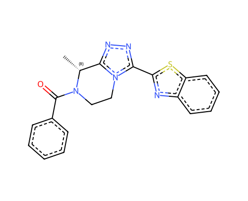 C[C@@H]1c2nnc(-c3nc4ccccc4s3)n2CCN1C(=O)c1ccccc1